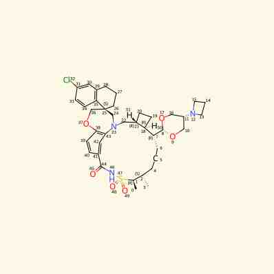 C[C@@H]1[C@@H](C)CCC[C@@H]([C@H]2OC[C@@H](N3CCC3)CO2)[C@@H]2CC[C@H]2CN2C[C@@]3(CCCc4cc(Cl)ccc43)COc3ccc(cc32)C(=O)NS1(=O)=O